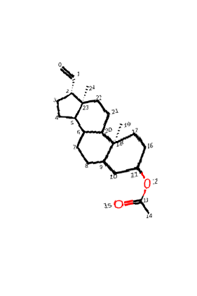 C=C[C@H]1CCC2C3CCC4CC(OC(C)=O)CC[C@]4(C)C3CC[C@@]21C